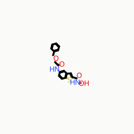 O=C(COCc1ccccc1)Nc1ccc2sc(C(=O)NO)cc2c1